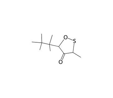 CC1SOC(C(C)(C)C(C)(C)C)C1=O